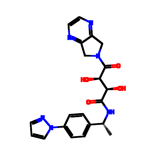 C[C@@H](NC(=O)[C@H](O)[C@@H](O)C(=O)N1Cc2nccnc2C1)c1ccc(-n2cccn2)cc1